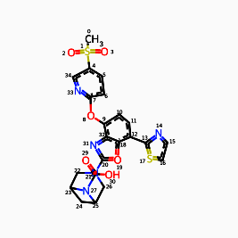 CS(=O)(=O)c1ccc(Oc2ccc(-c3nccs3)c3oc(N4CC5CC(C4)N5C(=O)O)nc23)nc1